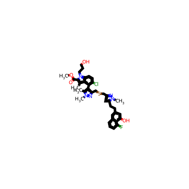 COC(=O)c1c(C)c2c(-c3c(CSCc4cc(CCc5cc(O)c6c(F)cccc6c5)n(C)n4)nn(C)c3C)c(Cl)ccc2n1CCCO